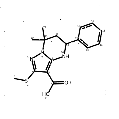 CSc1nn2c(c1C(=O)O)NC(c1ccccc1)CC2(C)C